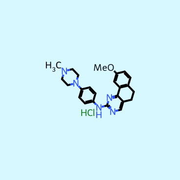 COc1ccc2c(c1)-c1nc(Nc3ccc(N4CCN(C)CC4)cc3)ncc1CC2.Cl